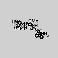 COc1cc(NC(=O)CCN2CC[C@@H](C(C(N)=O)(c3ccccc3)c3ccccc3)C2)c(Cl)cc1CNC[C@H](O[Si](C)(C)C(C)(C)C)c1ccc(O)c2[nH]c(=O)ccc12